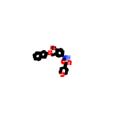 O=C(ONc1ccc(Br)c(COC2Cc3ccccc3C2)c1)C1CCOCC1